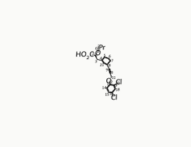 CC(C)OC(Cc1cccc(C#CCOc2ccc(Cl)cc2Cl)c1)C(=O)O